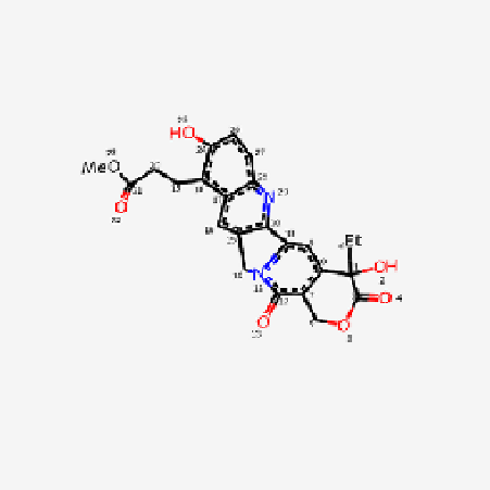 CCC1(O)C(=O)OCc2c1cc1n(c2=O)Cc2cc3c(CCC(=O)OC)c(O)ccc3nc2-1